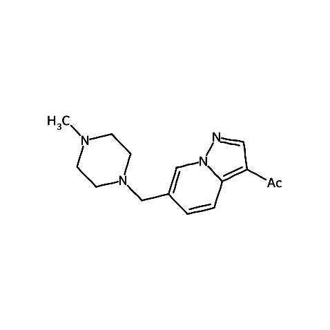 CC(=O)c1cnn2cc(CN3CCN(C)CC3)ccc12